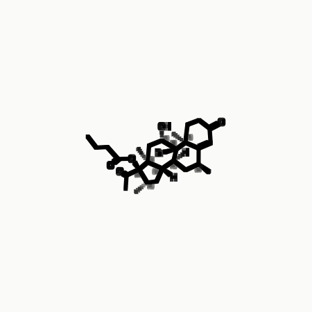 CCCC(=O)O[C@]1(C(C)=O)[C@@H](C)C[C@H]2[C@@H]3C[C@H](C)C4=CC(=O)CC[C@]4(C)[C@@]3(Br)[C@@H](O)C[C@@]21C